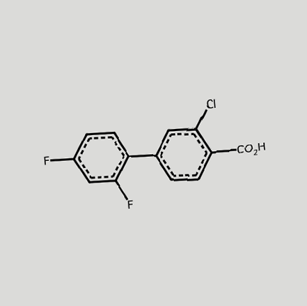 O=C(O)c1ccc(-c2ccc(F)cc2F)cc1Cl